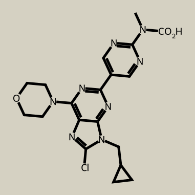 CN(C(=O)O)c1ncc(-c2nc(N3CCOCC3)c3nc(Cl)n(CC4CC4)c3n2)cn1